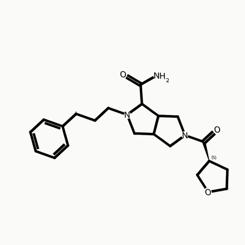 NC(=O)C1C2CN(C(=O)[C@H]3CCOC3)CC2CN1CC[CH]c1ccccc1